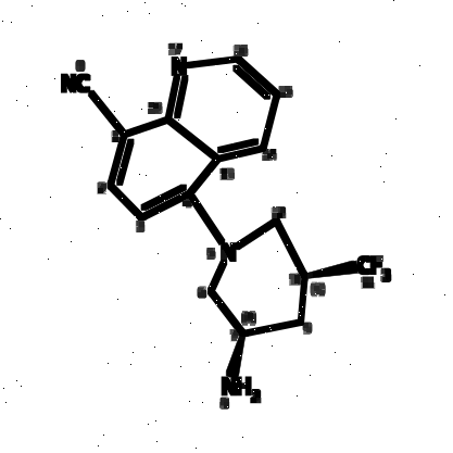 N#Cc1ccc(N2C[C@H](N)C[C@H](C(F)(F)F)C2)c2cccnc12